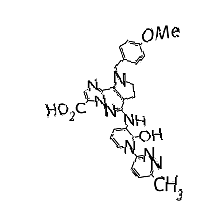 COc1ccc(CN2CCc3c(NC4=CC=CN(c5ccc(C)nn5)C4O)nn4c(C(=O)O)cnc4c32)cc1